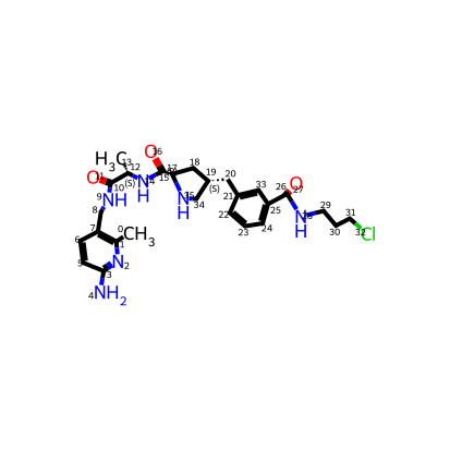 Cc1nc(N)ccc1CNC(=O)[C@H](C)NC(=O)[C@H]1C[C@H](Cc2cccc(C(=O)NCCCCl)c2)CN1